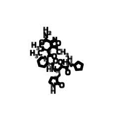 Cc1onc(C(N)=O)c1[C@@H](C(=O)N1CCCC[C@H]1C(=O)N[C@@H](C[C@@H]1CCNC1=O)C(O)C(=O)NC1CCCC1)C(C)C